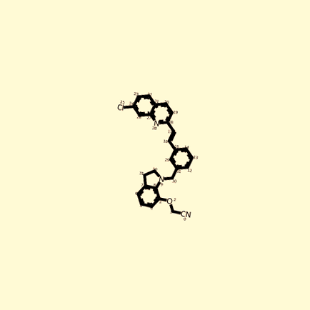 N#CCOc1cccc2c1N(Cc1cccc(C=Cc3ccc4ccc(Cl)cc4n3)c1)CC2